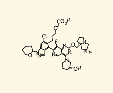 O=C(O)COCCCc1c(Cl)cc2c(cnn2C2CCCCO2)c1-c1ncc2c(N3CCC[C@@H](O)C3)nc(OC[C@@]34CCCN3C[C@H](F)C4)nc2c1F